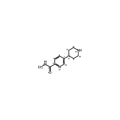 CCNC(=O)c1ccc(N2CCNCC2)cn1